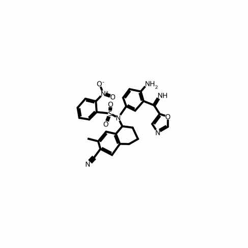 Cc1cc2c(cc1C#N)CCCC2N(c1ccc(N)c(C(=N)c2cnco2)c1)S(=O)(=O)c1ccccc1[N+](=O)[O-]